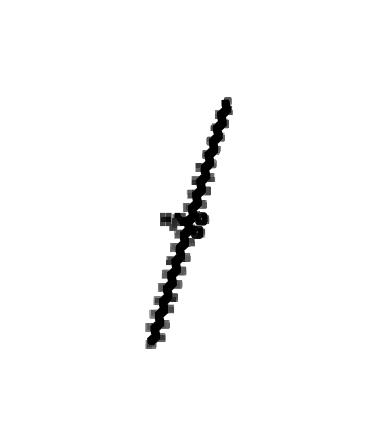 CCCCCCCCCCCCCCCCCC(=O)C(N)C(=O)CCCCCCCCCCCCCCCCC